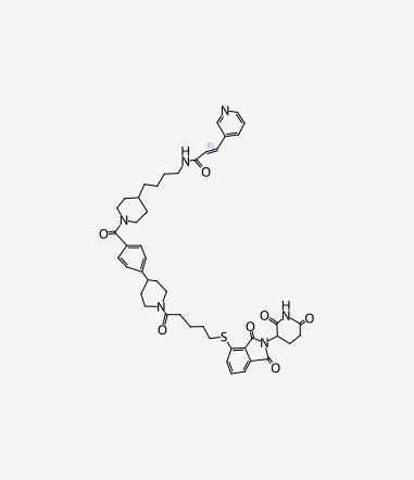 O=C(/C=C/c1cccnc1)NCCCCC1CCN(C(=O)c2ccc(C3CCN(C(=O)CCCCSc4cccc5c4C(=O)N(C4CCC(=O)NC4=O)C5=O)CC3)cc2)CC1